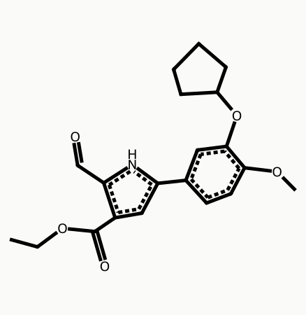 CCOC(=O)c1cc(-c2ccc(OC)c(OC3CCCC3)c2)[nH]c1C=O